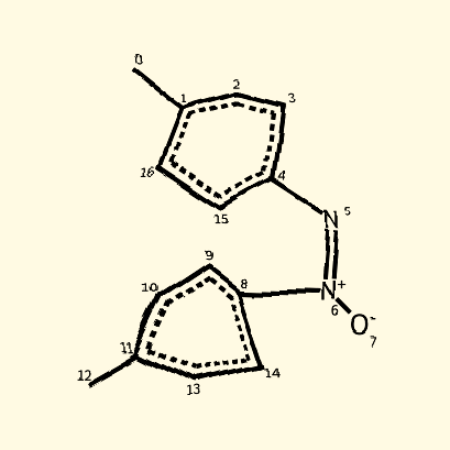 Cc1ccc(/N=[N+](/[O-])c2ccc(C)cc2)cc1